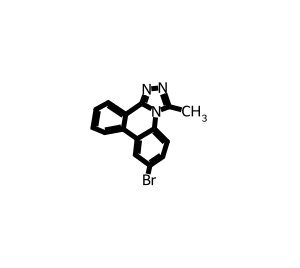 Cc1nnc2c3ccccc3c3cc(Br)ccc3n12